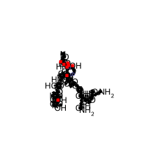 CCN(C(=O)OCc1ccc(NC(=O)[C@H](CCCNC(N)=O)NC(=O)[C@@H](NC(=O)[C@H](CCCCN)NC(C)=O)C(C)C)cc1)[C@H]1CO[C@@H](O[C@H]2[C@H](O[C@H]3C#C/C=C\C#C[C@]4(O)CC(=O)C(NC(=O)OC)=C3/C4=C\CSSC(C)(C)CC(=O)N(C)C)O[C@H](C)[C@@H](NO[C@H]3C[C@H](O)[C@H](SC(=O)c4c(C)c(I)c(O[C@@H]5O[C@@H](C)[C@H](O)[C@@H](OC)[C@H]5O)c(OC)c4OC)[C@@H](C)O3)[C@@H]2O)C[C@@H]1OC